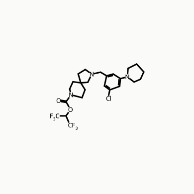 O=C(OC(C(F)(F)F)C(F)(F)F)N1CCC2(CCN(Cc3cc(Cl)cc(N4CCCCC4)c3)C2)CC1